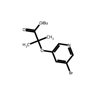 CC(C)COC(=O)C(C)(C)Oc1cncc(Br)c1